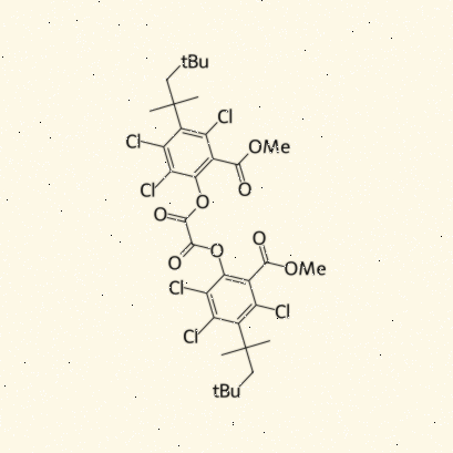 COC(=O)c1c(Cl)c(C(C)(C)CC(C)(C)C)c(Cl)c(Cl)c1OC(=O)C(=O)Oc1c(Cl)c(Cl)c(C(C)(C)CC(C)(C)C)c(Cl)c1C(=O)OC